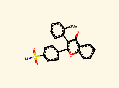 CSc1ccccc1-c1c(-c2ccc(S(N)(=O)=O)cc2)oc2ccccc2c1=O